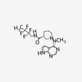 CN(c1ncnc2[nH]ccc12)N1CCC[C@H](C(=O)NCC(F)(F)C(C)(F)F)C1